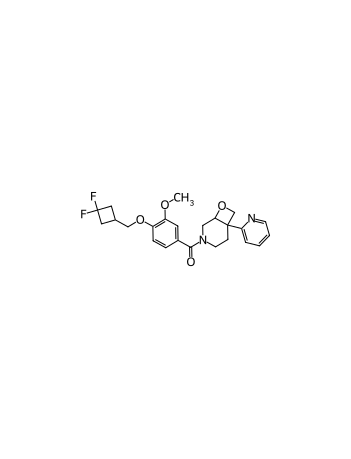 COc1cc(C(=O)N2CCC3(c4ccccn4)COC3C2)ccc1OCC1CC(F)(F)C1